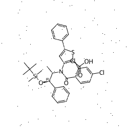 CC([C@H](O[Si](C)(C)C(C)(C)C)c1ccccc1)N(C(=O)c1ccc(Cl)cc1Cl)c1cc(-c2ccccc2)sc1C(=O)O